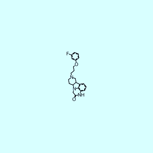 O=C1CN2c3c(cccc3C3CN(CCCOc4cccc(F)c4)CCC32)N1